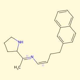 C/C(=N\C=C/CCc1ccc2ccccc2c1)C1CCCN1